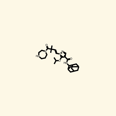 CC(C)Oc1c(C(=O)NC2C3CC4CC(C3)CC2C4)cnn1/C=C/C(C)(C)C(=O)N1CCCNCC1